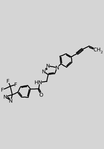 C=CC#Cc1ccc(-n2cc(CNC(=O)c3ccc(C4(C(F)(F)F)N=N4)cc3)nn2)cc1